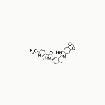 Cc1ccc(NC(=O)c2ccc(C(F)(F)F)nc2C)cc1-c1nc2cc3c(cc2[nH]1)OCO3